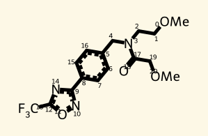 COCCN(Cc1ccc(-c2noc(C(F)(F)F)n2)cc1)C(=O)COC